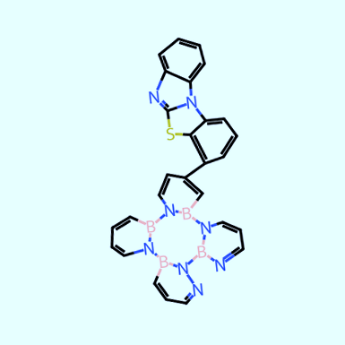 C1=CB2N3C=CC(c4cccc5c4sc4nc6ccccc6n45)=CB3N3C=CC=NB3N3N=CC=CB3N2C=C1